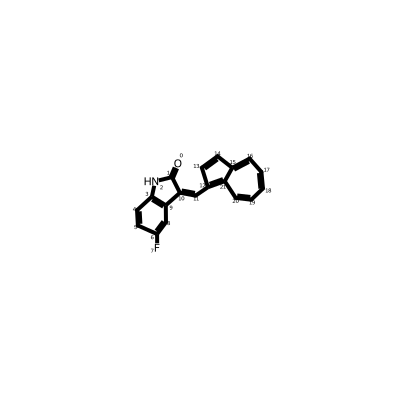 O=C1Nc2ccc(F)cc2C1=Cc1ccc2cccccc1-2